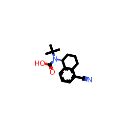 CC(C)(C)N(C(=O)O)[C@H]1CCCc2c(C#N)cccc21